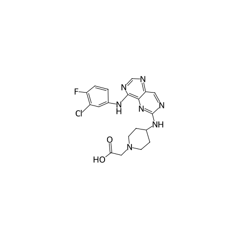 O=C(O)CN1CCC(Nc2ncc3ncnc(Nc4ccc(F)c(Cl)c4)c3n2)CC1